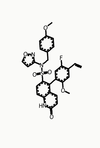 C=Cc1cc(OC)c(-c2c(S(=O)(=O)N(Cc3ccc(OC)cc3)c3ccon3)ccc3[nH]c(=O)ccc23)cc1F